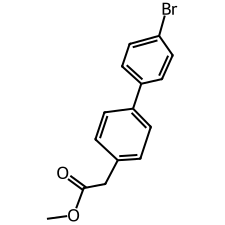 COC(=O)Cc1ccc(-c2ccc(Br)cc2)cc1